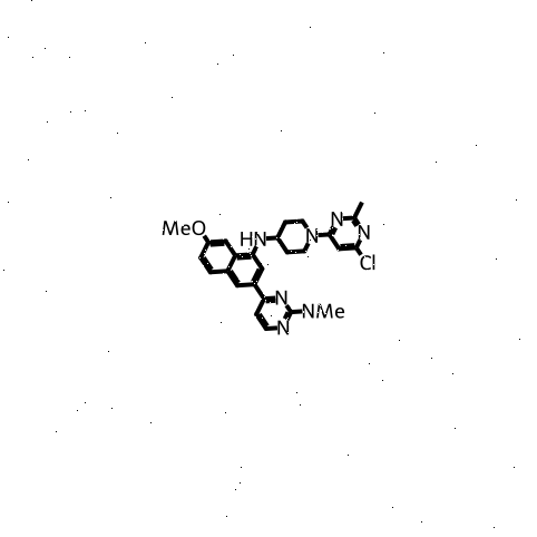 CNc1nccc(-c2cc(NC3CCN(c4cc(Cl)nc(C)n4)CC3)c3cc(OC)ccc3c2)n1